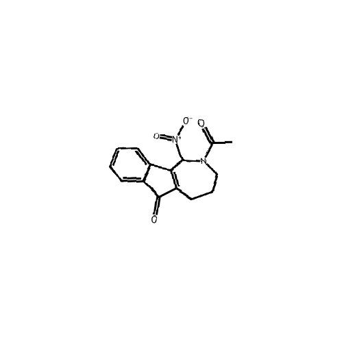 CC(=O)N1CCCC2=C(c3ccccc3C2=O)C1[N+](=O)[O-]